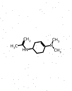 C=C(C)NC1CC=C(N(C)C)CC1